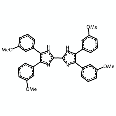 COc1cccc(-c2nc(-c3nc(-c4cccc(OC)c4)c(-c4cccc(OC)c4)[nH]3)[nH]c2-c2cccc(OC)c2)c1